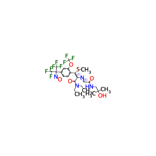 CCN(CC)C(=O)C(/N=C/C(=O)NCC(C)(C)O)=C(/SC)c1ccc(C(N=O)(C(F)(F)F)C(F)(F)F)cc1OC(F)(F)F